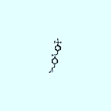 COCCN1CCC(NCc2ccc(C(F)(F)F)cc2)CC1